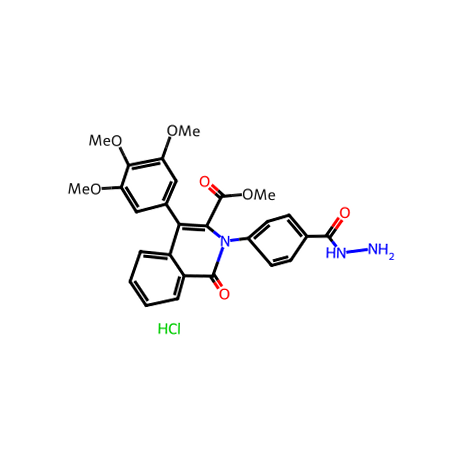 COC(=O)c1c(-c2cc(OC)c(OC)c(OC)c2)c2ccccc2c(=O)n1-c1ccc(C(=O)NN)cc1.Cl